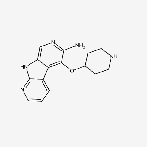 Nc1ncc2[nH]c3ncccc3c2c1OC1CCNCC1